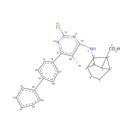 O=C(O)C1C2CCC(CC2)C1Nc1nc(Cl)nc(-c2ccc(-c3ccccc3)cc2)c1F